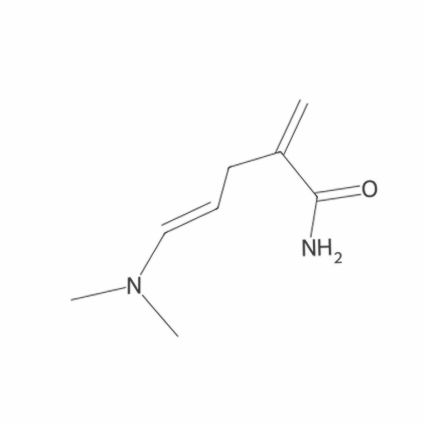 C=C(CC=CN(C)C)C(N)=O